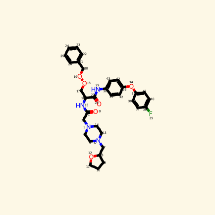 O=C(CN1CCN(CC2CCCO2)CC1)NC(COOCc1ccccc1)C(=O)Nc1ccc(Oc2ccc(F)cc2)cc1